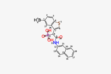 Bc1ccc2scc(C(C(=O)Nc3ccc4ccccc4c3)P(=O)(O)O)c2c1